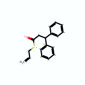 C=CCSC(=O)CC(c1ccccc1)c1ccccc1